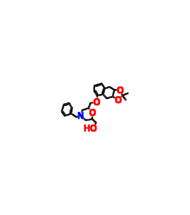 CC1(C)OC2Cc3cccc(OCC4CN(Cc5ccccc5)CC(CO)O4)c3CC2O1